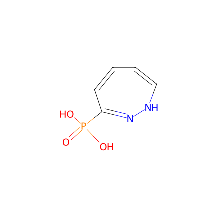 O=P(O)(O)C1=NNC=CC=C1